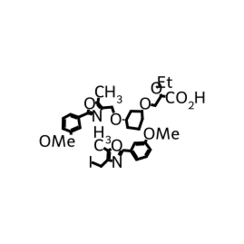 CCOC(CO[C@@H]1CCC[C@H](OCc2nc(-c3cccc(OC)c3)oc2C)C1)C(=O)O.COc1cccc(-c2nc(CI)c(C)o2)c1